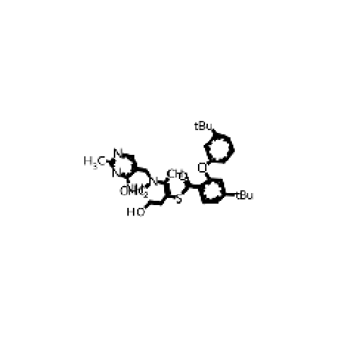 CC(=C(CCO)SC(=O)c1ccc(C(C)(C)C)cc1Oc1cccc(C(C)(C)C)c1)N(C=O)Cc1cnc(C)nc1N